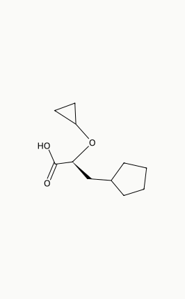 O=C(O)[C@H](CC1CCCC1)OC1CC1